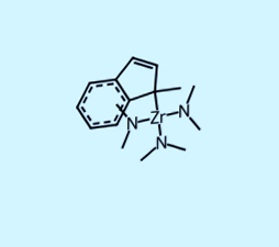 C[N](C)[Zr]([N](C)C)([N](C)C)[C]1(C)C=Cc2ccccc21